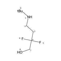 CC(C)(C)NCCC(F)(F)CO